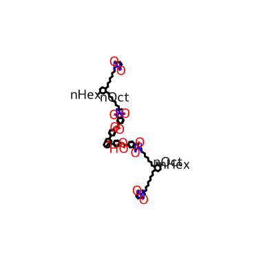 CCCCCCCCC1C(CCCCCC)CCC(CCCCCCCCC(C)(C)N2C(=O)C=CC2=O)C1CCCCCCCCN1C(=O)c2ccc(C(O)Oc3ccc(C45CC6CC(CC(c7ccc(OC(=O)c8ccc9c(c8)C(=O)N(C(C)(C)CCCCCCCC8C(CCCCCCCCN%10C(=O)C=CC%10=O)CCC(CCCCCC)C8CCCCCCCC)C9=O)cc7)(C6)C4)C5)cc3)cc2C1=O